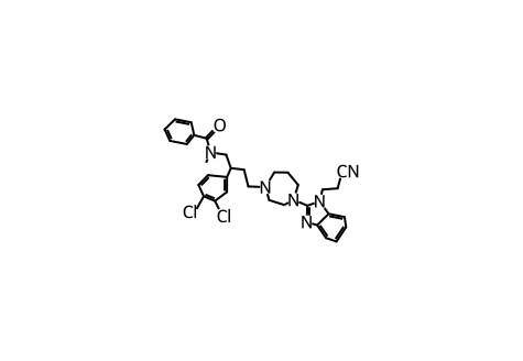 CN(CC(CCN1CCCN(c2nc3ccccc3n2CCC#N)CC1)c1ccc(Cl)c(Cl)c1)C(=O)c1ccccc1